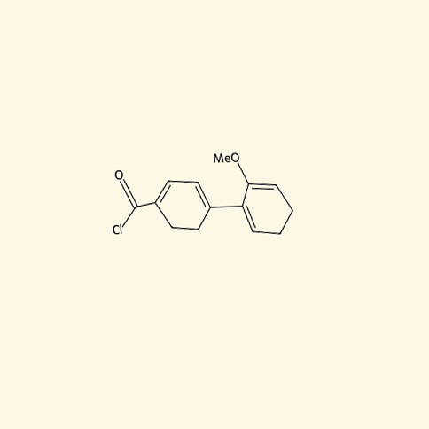 COC1=CCCC=C1C1=CC=C(C(=O)Cl)CC1